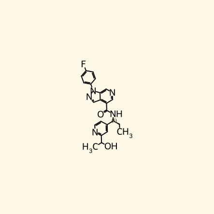 CC[C@H](NC(=O)c1cncc2c1cnn2-c1ccc(F)cc1)c1ccnc(C(C)O)c1